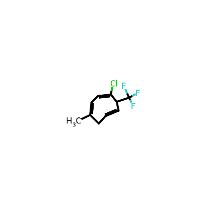 C/C1=C/C=C(/Cl)C(C(F)(F)F)/C=C/C1